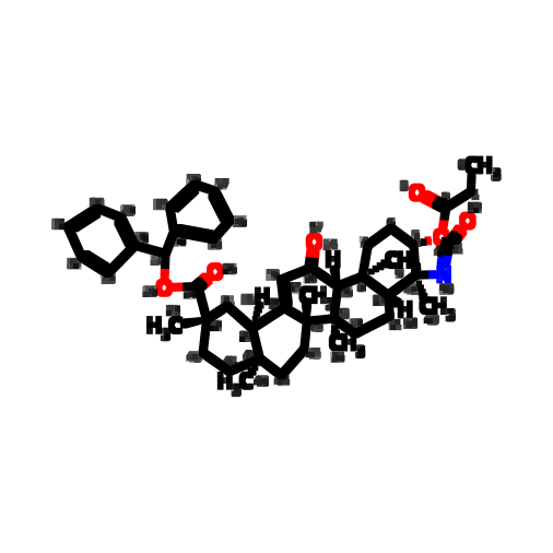 CCC(=O)O[C@H]1CC[C@@]2(C)[C@@H](CC[C@]3(C)[C@@H]2C(=O)C=C2[C@@H]4C[C@@](C)(C(=O)OC(c5ccccc5)c5ccccc5)CC[C@]4(C)CC[C@]23C)[C@]1(C)N=C=O